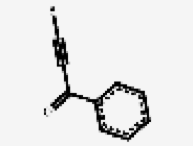 O=C(C#CBr)c1ccccc1